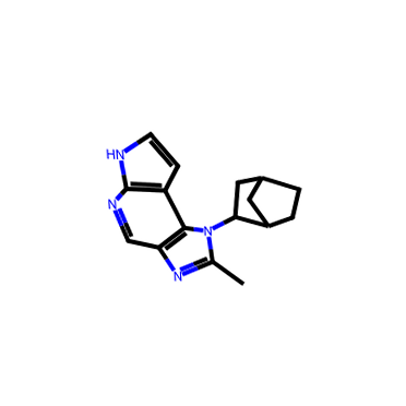 Cc1nc2cnc3[nH]ccc3c2n1C1CC2CCC1C2